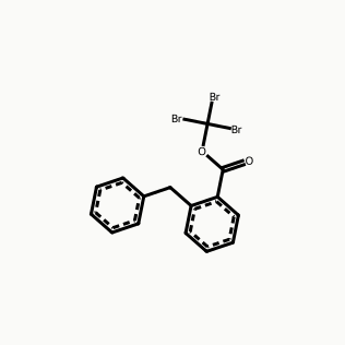 O=C(OC(Br)(Br)Br)c1ccccc1Cc1ccccc1